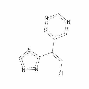 ClC=C(c1cncnc1)c1nncs1